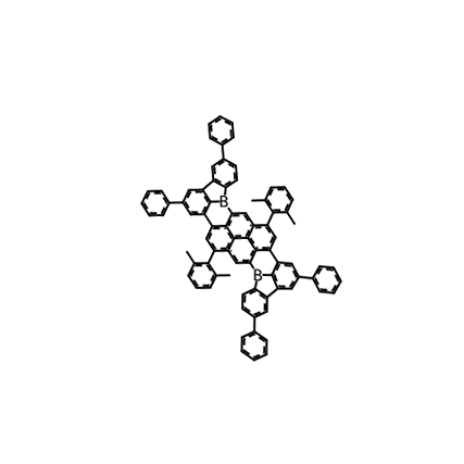 Cc1cccc(C)c1-c1cc2c3c(cc4c(-c5c(C)cccc5C)cc5c6c(cc1c3c46)B1c3ccc(-c4ccccc4)cc3-c3cc(-c4ccccc4)cc-5c31)B1c3ccc(-c4ccccc4)cc3-c3cc(-c4ccccc4)cc-2c31